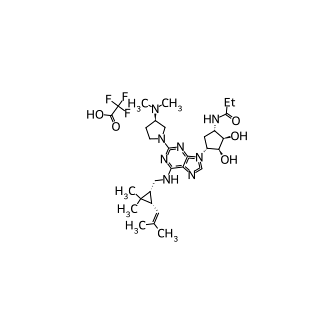 CCC(=O)N[C@H]1C[C@@H](n2cnc3c(NC[C@@H]4[C@H](C=C(C)C)C4(C)C)nc(N4CC[C@@H](N(C)C)C4)nc32)[C@H](O)[C@@H]1O.O=C(O)C(F)(F)F